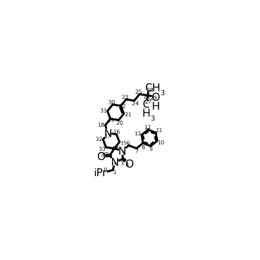 CC(C)CN1C(=O)N(CCc2ccccc2)C2(CCN(CC3CC=C(CCCC(C)(C)O)CC3)CC2)C1=O